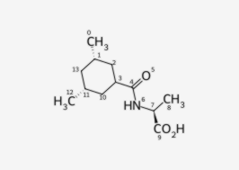 C[C@@H]1CC(C(=O)N[C@@H](C)C(=O)O)C[C@H](C)C1